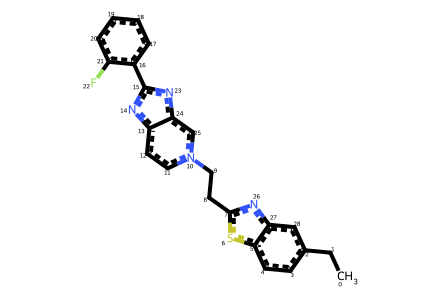 CCc1ccc2sc(CCn3ccc4nc(-c5ccccc5F)nc-4c3)nc2c1